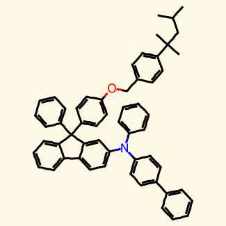 CC(C)CC(C)(C)c1ccc(COc2ccc(C3(c4ccccc4)c4ccccc4-c4ccc(N(c5ccccc5)c5ccc(-c6ccccc6)cc5)cc43)cc2)cc1